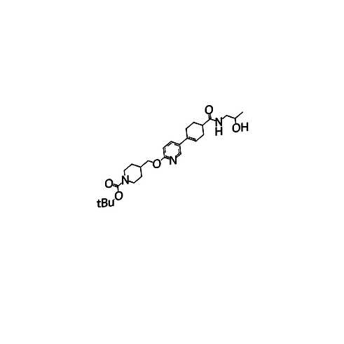 CC(O)CNC(=O)C1CC=C(c2ccc(OCC3CCN(C(=O)OC(C)(C)C)CC3)nc2)CC1